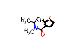 CC(C)N(C)C(=O)c1ccsc1